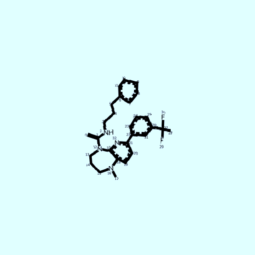 C=C(NCCCc1ccccc1)N1CCCN(C)c2ccc(-c3cccc(C(C)(F)F)c3)nc21